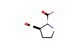 O.O=C=C1CCN[C@@H]1C(=O)O